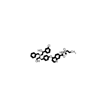 CCCS(=O)(=O)NC(=O)c1ccc2c(Oc3ccc(C[C@@H](CO)N(Cc4ccccc4)C[C@@H](O)c4cccc(Cl)c4)cc3)ccnc2c1